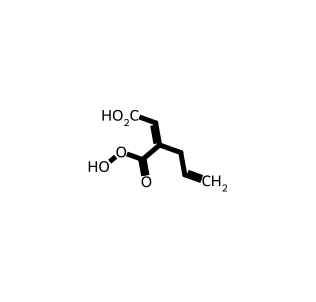 C=CCC(=CC(=O)O)C(=O)OO